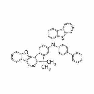 CC1(C)c2cc(N(c3ccc(-c4ccccc4)cc3)c3cccc4c3sc3ccccc34)ccc2-c2c1ccc1c2oc2ccccc21